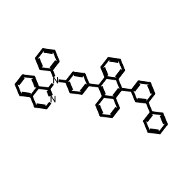 c1ccc(-c2cccc(-c3c4ccccc4c(-c4ccc(N(c5ccccc5)c5nccc6ccccc56)cc4)c4ccccc34)c2)cc1